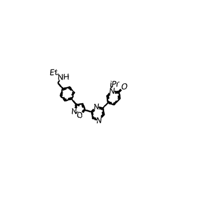 CCNCc1ccc(-c2cc(-c3cncc(-c4ccc(=O)n(C(C)C)c4)n3)on2)cc1